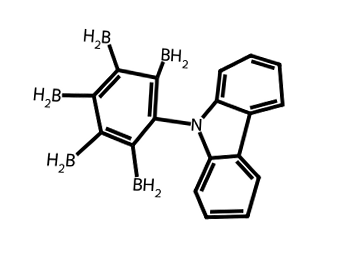 Bc1c(B)c(B)c(-n2c3ccccc3c3ccccc32)c(B)c1B